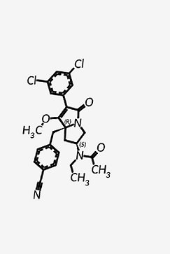 CCN(C(C)=O)[C@@H]1CN2C(=O)C(c3cc(Cl)cc(Cl)c3)=C(OC)[C@@]2(Cc2ccc(C#N)cc2)C1